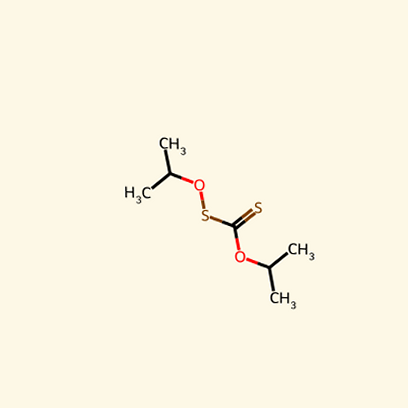 CC(C)OSC(=S)OC(C)C